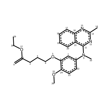 C=C(CCCOc1cc(N(C)c2nc(C)nc3ccccc23)ccc1OC)OCC